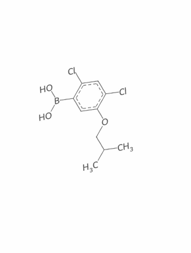 CC(C)COc1cc(B(O)O)c(Cl)cc1Cl